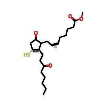 CCCCCC(=O)CC[C@@H]1C(C/C=C\CCCCC(=O)OC)C(=O)C[C@H]1S